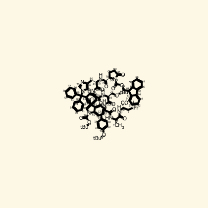 CC(C)C[C@H](NC(=O)[C@@H](C)NC(=O)[C@H](Cc1ccc(OC(C)(C)C)cc1)NC(=O)[C@H](COC(C)(C)C)NC(=O)[C@H](Cc1cn(C(=O)OC(C)(C)C)c2ccccc12)NC(=O)[C@H](Cc1cn(C(c2ccccc2)(c2ccccc2)c2ccccc2)cn1)NC(=O)[C@@H]1CCC(=O)N1C(=O)OCC1c2ccccc2-c2ccccc21)C(=O)O